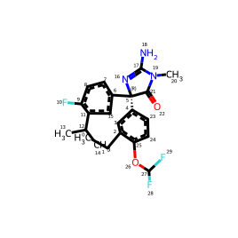 CCc1cc([C@]2(c3ccc(F)c(C(C)C)c3)N=C(N)N(C)C2=O)ccc1OC(F)F